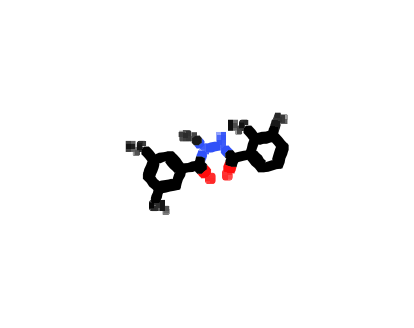 CC(=O)c1cccc(C(=O)NN(C(=O)c2cc(C)cc(C)c2)C(C)(C)C)c1C